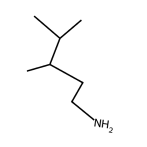 CC(C)C(C)CCN